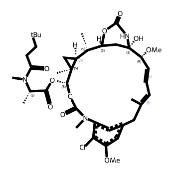 COc1cc2cc(c1Cl)N(C)C(=O)C[C@H](OC(=O)[C@H](C)N(C)C(=O)CCC(C)(C)C)[C@@]1(C)C[C@H]1[C@H](C)[C@@H]1C[C@@](O)(NC(=O)O1)[C@H](OC)/C=C/C=C(\C)C2